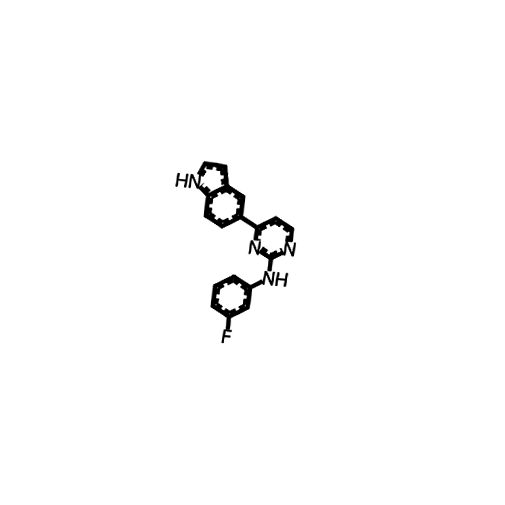 Fc1cccc(Nc2nccc(-c3ccc4[nH]ccc4c3)n2)c1